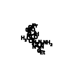 CCOc1nc(N)nc2c1ncn2[C@@H]1O[C@@H]2CO[P@](=O)(OC(C)C)O[C@H]2[C@@]1(C)Cl